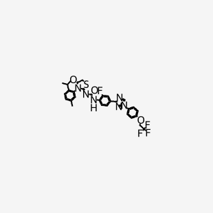 Cc1ccc(C(C)C)c(N2C(=O)CSC2=NC(=O)Nc2ccc(-c3ncn(-c4ccc(OCC(F)(F)F)cc4)n3)cc2F)c1